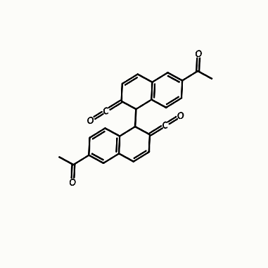 CC(=O)c1ccc2c(c1)C=CC(=C=O)C2C1C(=C=O)C=Cc2cc(C(C)=O)ccc21